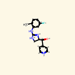 Cc1ccc(F)cc1NC1=NC(C(=O)c2ccncc2)CN1